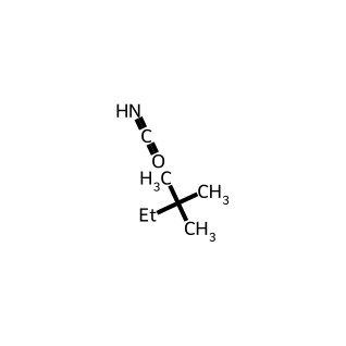 CCC(C)(C)C.N=C=O